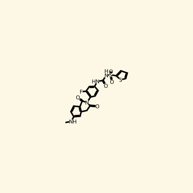 CNc1ccc2c(c1)CC(=O)N(c1ccc(NC(=O)NS(=O)(=O)c3cccs3)cc1F)C2=O